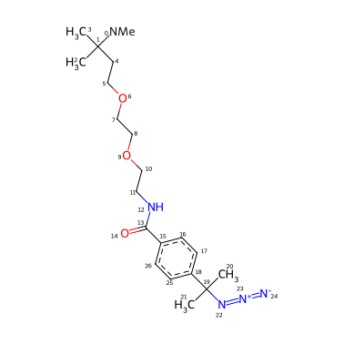 CNC(C)(C)CCOCCOCCNC(=O)c1ccc(C(C)(C)N=[N+]=[N-])cc1